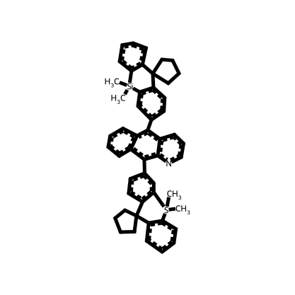 C[Si]1(C)c2ccccc2C2(CCCC2)c2ccc(-c3c4ccccc4c(-c4ccc5c(c4)S(C)(C)c4ccccc4C54CCCC4)c4ncccc34)cc21